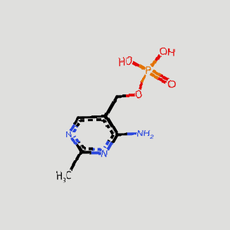 Cc1ncc(COP(=O)(O)O)c(N)n1